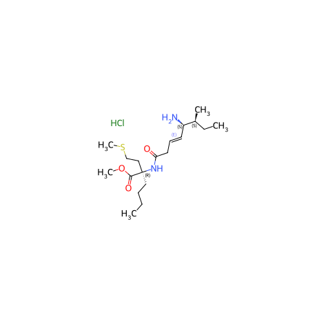 CCCC[C@](CCSC)(NC(=O)C/C=C/[C@@H](N)[C@@H](C)CC)C(=O)OC.Cl